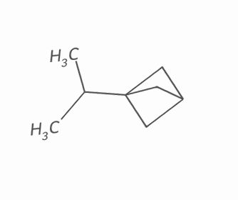 CC(C)C12CC(C1)C2